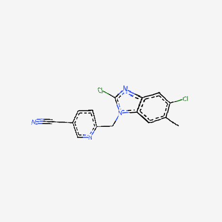 Cc1cc2c(cc1Cl)nc(Cl)n2Cc1ccc(C#N)cn1